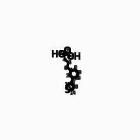 O=P(O)(O)CCCc1cccc(-c2ccsc2)c1